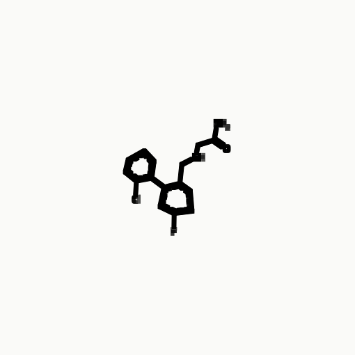 NC(=O)CNCc1ccc(F)cc1-c1ccccc1Cl